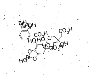 O=C(O)CC(O)(CC(=O)O)C(=O)O.O=C(O)c1cc(O)c2c(c1)[O][Bi]([OH])[O]2.O=C(O)c1ccccc1O.[BiH3].[BiH3]